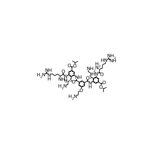 CC(C)OC(=O)c1cc(NC(=O)c2cc(OCCN)cc(C(=O)Nc3cc(C(=O)OC(C)C)cc(NC(=O)[C@H](N)CCCNC(=N)N)c3SCCN)c2)c(SCCN)c(NC(=O)C(N)CCCNC(=N)N)c1